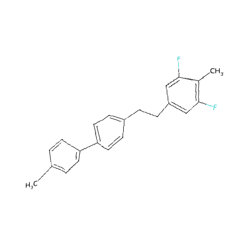 Cc1ccc(-c2ccc(CCc3cc(F)c(C)c(F)c3)cc2)cc1